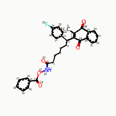 CC1=C(C(CCCCCC(=O)NOC(=O)c2ccccc2)c2ccc(F)cc2)C(=O)c2ccccc2C1=O